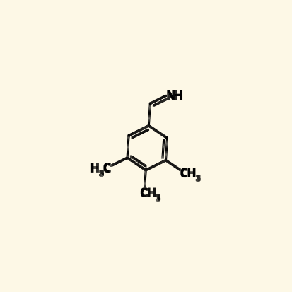 Cc1cc(C=N)cc(C)c1C